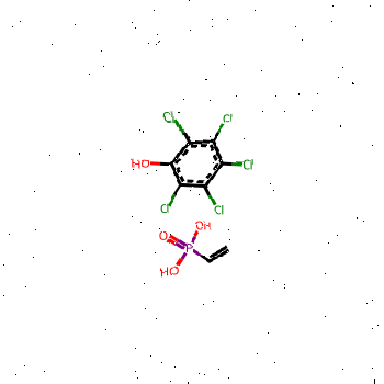 C=CP(=O)(O)O.Oc1c(Cl)c(Cl)c(Cl)c(Cl)c1Cl